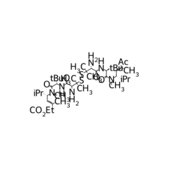 CCOC(=O)/C(C)=C/[C@H](C(C)C)N(C)C(=O)[C@@H](NC(=O)C(N)C(C)(C)SSC(C)(C)[C@H](N)C(=O)N[C@H](C(=O)N(C)[C@H](/C=C(\C)C(C)=O)C(C)C)C(C)(C)C)C(C)(C)C